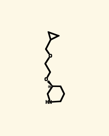 C1CNC[C@@H](OCCOCC2CC2)C1